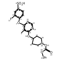 Cc1c(Oc2ccc(S(=O)(=O)O)cc2F)ncnc1OC1CCN(OC(=O)OC(C)C)CC1